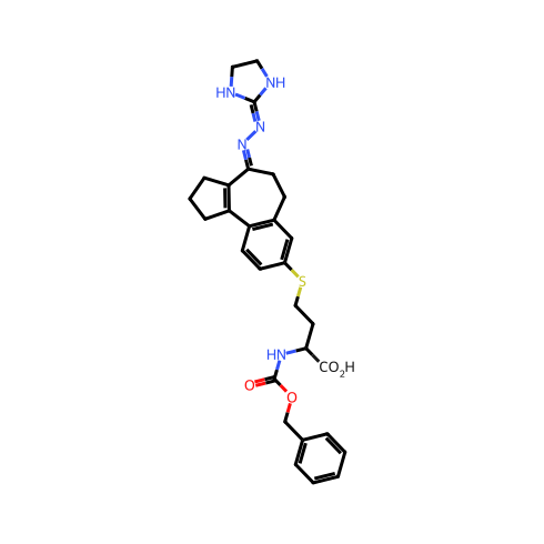 O=C(NC(CCSc1ccc2c(c1)CCC(=NN=C1NCCN1)C1=C2CCC1)C(=O)O)OCc1ccccc1